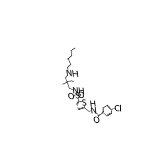 CCCCCCNCC(C)(C)CNS(=O)(=O)c1ccc(CNC(=O)c2ccc(Cl)cc2)s1